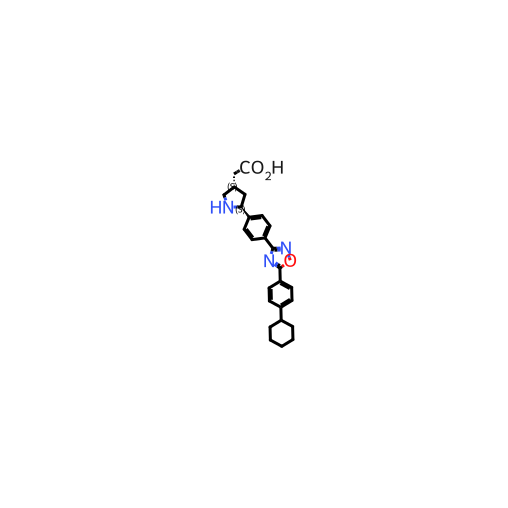 O=C(O)C[C@H]1CN[C@H](c2ccc(-c3noc(-c4ccc(C5CCCCC5)cc4)n3)cc2)C1